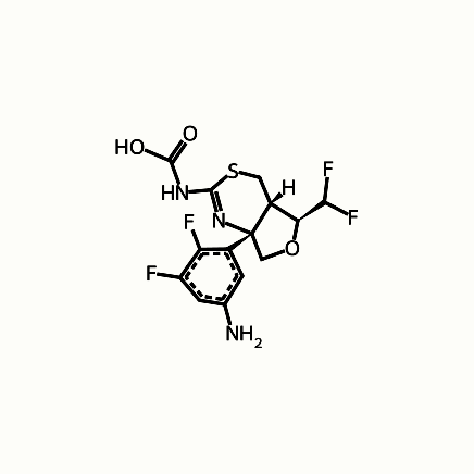 Nc1cc(F)c(F)c([C@]23CO[C@H](C(F)F)[C@H]2CSC(NC(=O)O)=N3)c1